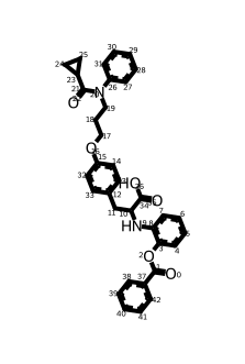 O=C(Oc1ccccc1NC(Cc1ccc(OCCCN(C(=O)C2CC2)c2ccccc2)cc1)C(=O)O)c1ccccc1